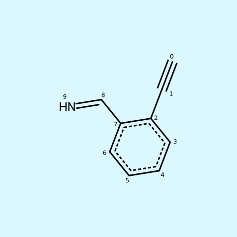 C#Cc1ccccc1C=N